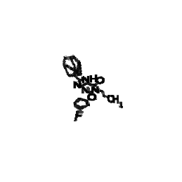 CCCn1c(Oc2cccc(F)c2)nc2nc(C34CC5CC(CC(C5)C3)C4)[nH]c2c1=O